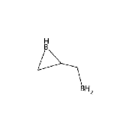 BCC1BC1